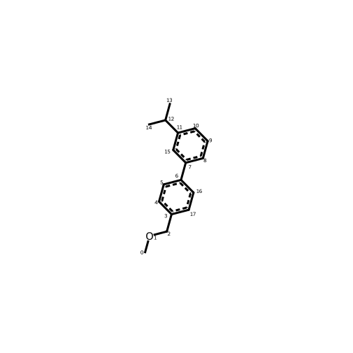 COCc1ccc(-c2cccc(C(C)C)c2)cc1